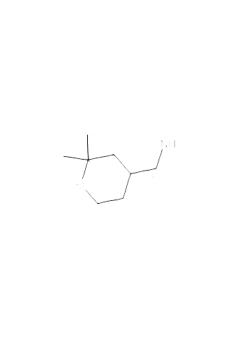 C[C@@H](N)C1CCOC(C)(C)C1